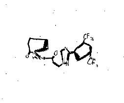 O=C(/C=C\n1cnc(-c2cc(C(F)(F)F)cc(C(F)(F)F)c2)n1)NN1CCCCC1=O